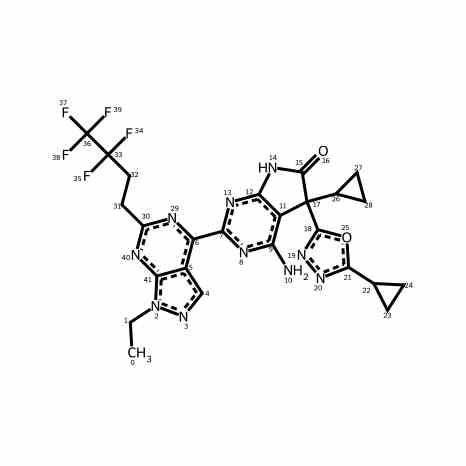 CCn1ncc2c(-c3nc(N)c4c(n3)NC(=O)C4(c3nnc(C4CC4)o3)C3CC3)nc(CCC(F)(F)C(F)(F)F)nc21